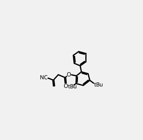 C=C(C#N)CC(=O)Oc1c(-c2ccccc2)cc(C(C)(C)C)cc1C(C)(C)C